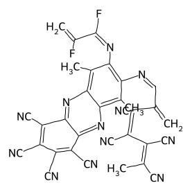 C=C(/C=N\c1c(/N=C(/F)C(=C)F)c(C)c2nc3c(C#N)c(C#N)c(C#N)c(C#N)c3nc2c1C)/C(C#N)=C(C#N)\C(C#N)=C(/C)C#N